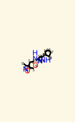 Cc1noc(C)c1CC(=O)Nc1cc([C@H]2C[CH]CC2)[nH]n1